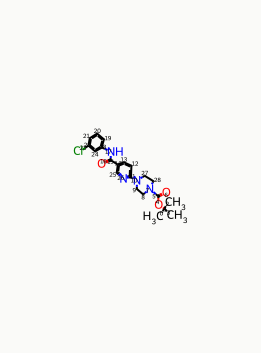 CC(C)(C)OC(=O)N1CCN(c2ccc(C(=O)Nc3cccc(Cl)c3)cn2)CC1